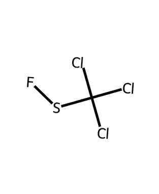 FSC(Cl)(Cl)Cl